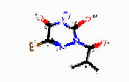 CC(C)C(=O)n1nc(Br)c(=O)[nH]c1=O